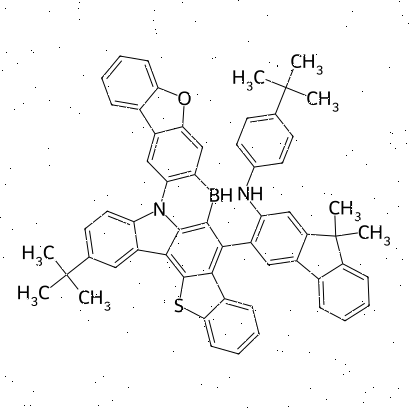 CC(C)(C)c1ccc(Nc2cc3c(cc2-c2c4c5c(c6cc(C(C)(C)C)ccc6n5-c5cc6c(cc5B4)oc4ccccc46)c4sc5ccccc5c24)-c2ccccc2C3(C)C)cc1